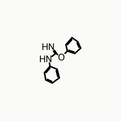 N=C(Nc1ccccc1)Oc1ccccc1